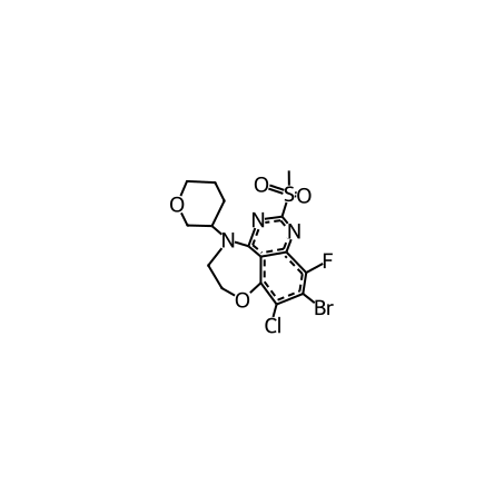 CS(=O)(=O)c1nc2c3c(c(Cl)c(Br)c(F)c3n1)OCCN2C1CCCOC1